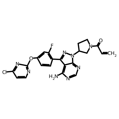 C=CC(=O)N1CCC(n2nc(-c3ccc(Oc4nccc(Cl)n4)cc3F)c3c(N)ncnc32)C1